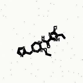 CCO[C@H]1CN(Cc2nccs2)CC[C@H]1NC(=O)c1nc(Cl)c(CC)[nH]1